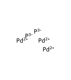 [P-3].[P-3].[Pd+2].[Pd+2].[Pd+2]